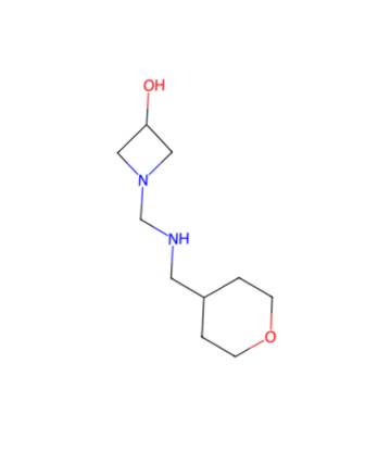 OC1CN(CNCC2CCOCC2)C1